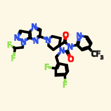 O=C1N(c2cc(C(F)(F)F)ccn2)C(=O)C2(CCN(c3cnc4cnn(CC(F)F)c4n3)CC2)N1Cc1ccc(F)cc1F